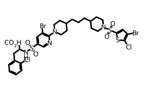 O=C(O)C(Cc1ccccc1Cl)NS(=O)(=O)c1cnc(N2CCC(CCCC3CCN(S(=O)(=O)c4cc(Br)c(Cl)s4)CC3)CC2)c(Br)c1